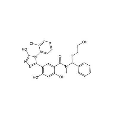 CN(C(=O)c1cc(-c2nnc(O)n2-c2ccccc2Cl)c(O)cc1O)C(OCCO)c1ccccc1